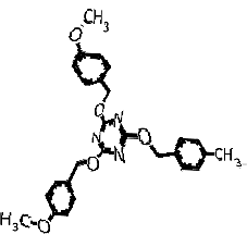 COc1ccc(COc2nc(OCc3ccc(C)cc3)nc(OCc3ccc(OC)cc3)n2)cc1